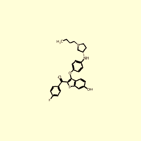 CCCCN1CC[C@H](Nc2ccc(Oc3c(C(=O)c4ccc(F)cc4)sc4cc(O)ccc34)cc2)C1